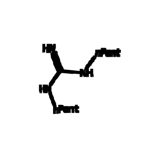 CCCCCNC(=N)NCCCCC